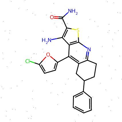 NC(=O)c1sc2nc3c(c(-c4ccc(Cl)o4)c2c1N)CC(c1ccccc1)CC3